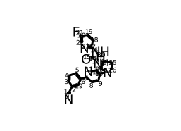 N#Cc1cccc(-c2ccc3c(n2)N(C(=O)Nc2ccc(F)cn2)[C@H]2CCN3C2)c1